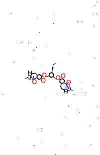 CCC#Cc1cc(COc2cc3c(cc2OC)C(=O)N2C=C(C)C[C@H]2C=C=C3)cc(COc2cc3c(cc2OC)C(=O)N2C=C(C)C[C@H]2C=C3)c1